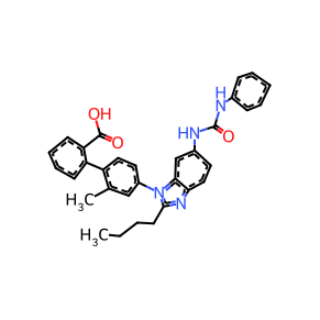 CCCCc1nc2ccc(NC(=O)Nc3ccccc3)cc2n1-c1ccc(-c2ccccc2C(=O)O)c(C)c1